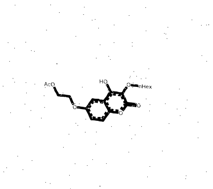 CCCCCCOc1c(O)c2cc(OCCOC(C)=O)ccc2oc1=O